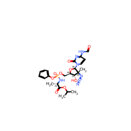 CC(C)OC(=O)[C@H](C)NP(=O)(OC[C@H]1O[C@@H](n2ccc(NC=O)nc2=O)[C@](C)(N=[N+]=[N-])[C@@H]1O)Oc1ccccc1